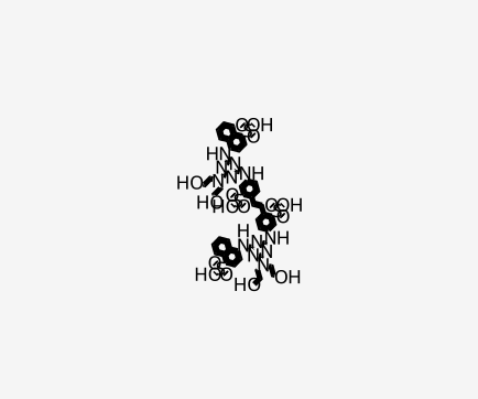 O=S(=O)(O)c1cc(Nc2nc(Nc3ccc(S(=O)(=O)O)c4ccccc34)nc(N(CCO)CCO)n2)ccc1/C=C/c1ccc(Nc2nc(Nc3ccc(S(=O)(=O)O)c4ccccc34)nc(N(CCO)CCO)n2)cc1S(=O)(=O)O